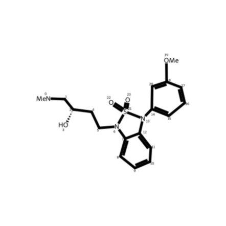 CNC[C@@H](O)CCN1c2ccccc2N(c2cccc(OC)c2)S1(=O)=O